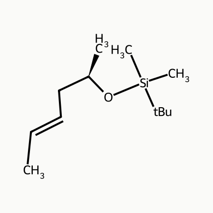 C/C=C/C[C@@H](C)O[Si](C)(C)C(C)(C)C